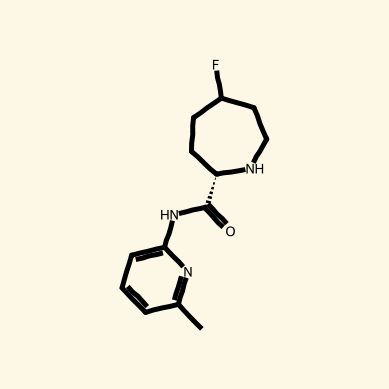 Cc1cccc(NC(=O)[C@@H]2CCC(F)CCN2)n1